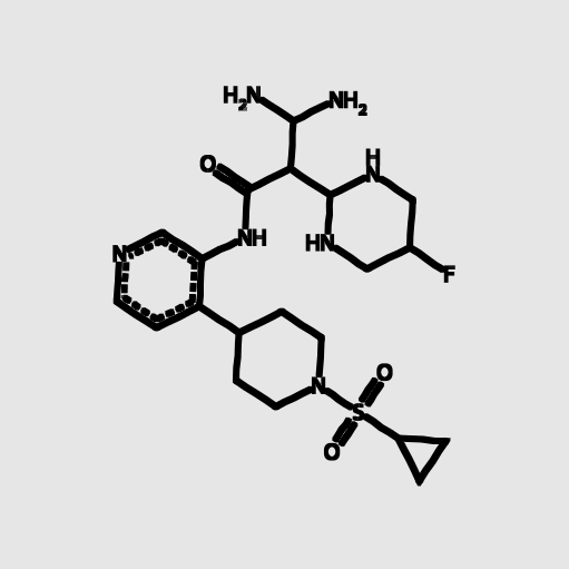 NC(N)C(C(=O)Nc1cnccc1C1CCN(S(=O)(=O)C2CC2)CC1)C1NCC(F)CN1